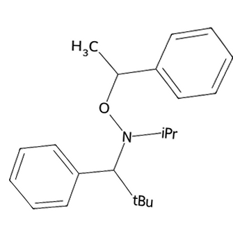 CC(ON(C(C)C)C(c1ccccc1)C(C)(C)C)c1ccccc1